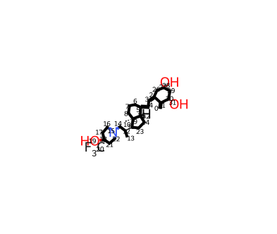 C=C1/C(=C\C=C2/CCC[C@]3(C)[C@@H](C(C)CN4CCC(O)(C(F)(F)F)CC4)CC[C@@H]23)C[C@@H](O)C[C@@H]1O